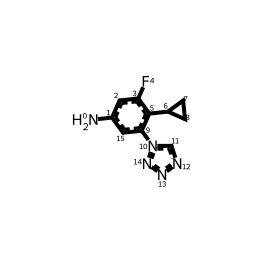 Nc1cc(F)c(C2CC2)c(-n2cnnn2)c1